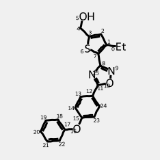 CCc1cc(CO)sc1-c1noc(-c2ccc(Oc3ccccc3)cc2)n1